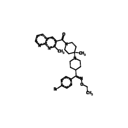 CCON=C(c1ccc(Br)cc1)C1CCN(C2(C)CCN(C(=O)c3cc4cccnc4nc3C)CC2)CC1